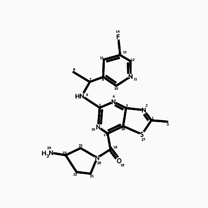 Cc1nc2nc(NC(C)c3cncc(F)c3)nc(C(=O)N3CCC(N)C3)c2s1